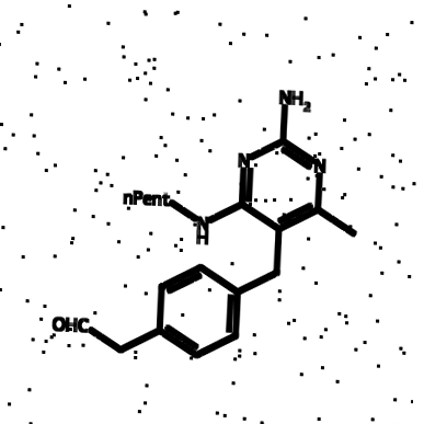 CCCCCNc1nc(N)nc(C)c1Cc1ccc(CC=O)cc1